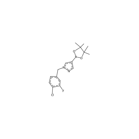 CC1(C)OB(c2cnn(Cc3ccc(Cl)c(F)c3)c2)OC1(C)C